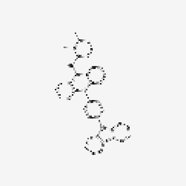 Cc1cccc(Bc2c3ccccc3c(-c3ccc(-n4c5ccccc5c5ccccc54)cc3)c3ccccc23)c1C